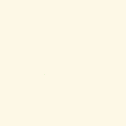 Fc1ccc(C2CCc3ccc(Cl)cc32)cc1